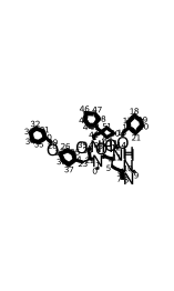 CN(C(=O)[C@H](Cc1cnc[nH]1)NC(=O)OCc1ccccc1)[C@@H](Cc1ccc(OCc2ccccc2)cc1)C(=O)NCC1(c2ccccc2)CCC1